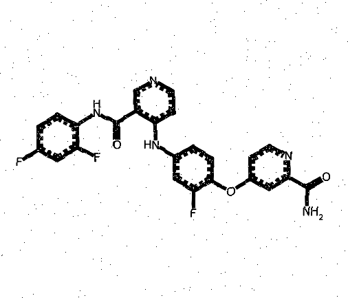 NC(=O)c1cc(Oc2ccc(Nc3ccncc3C(=O)Nc3ccc(F)cc3F)cc2F)ccn1